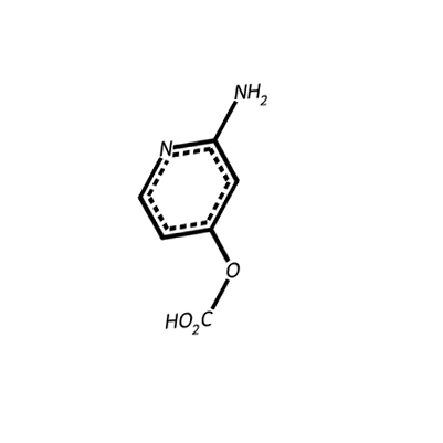 Nc1cc(OC(=O)O)ccn1